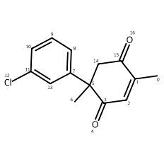 CC1=CC(=O)C(C)(c2cccc(Cl)c2)CC1=O